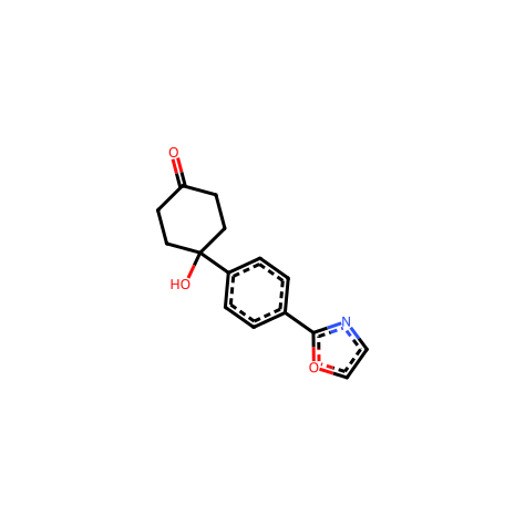 O=C1CCC(O)(c2ccc(-c3ncco3)cc2)CC1